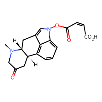 CN1CC(=O)C[C@@H]2c3cccc4c3c(cn4OC(=O)/C=C\C(=O)O)C[C@H]21